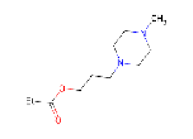 CCC(=O)OCCCN1CCN(C)CC1